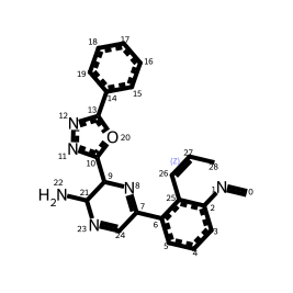 C=Nc1cccc(C2=NC(c3nnc(-c4ccccc4)o3)C(N)N=C2)c1/C=C\C